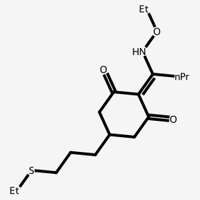 CCCC(NOCC)=C1C(=O)CC(CCCSCC)CC1=O